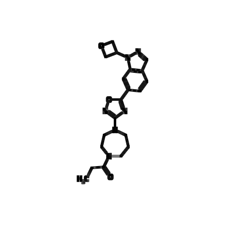 CCC(=O)N1CCCN(c2noc(-c3ccc4cnn(C5COC5)c4c3)n2)CC1